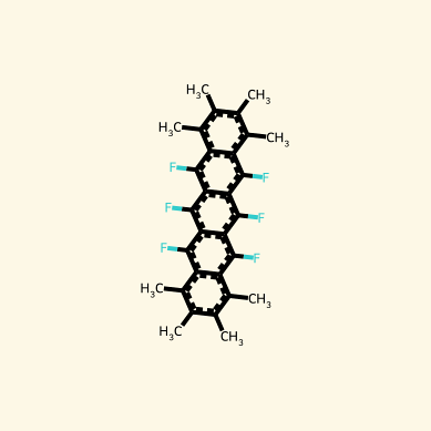 Cc1c(C)c(C)c2c(F)c3c(F)c4c(F)c5c(C)c(C)c(C)c(C)c5c(F)c4c(F)c3c(F)c2c1C